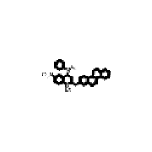 CCN1c2ccc([N+](=O)[O-])cc2C(N(C(C)=O)c2ccccc2)CC1Cc1ccc2c(ccc3c4ccccc4ccc23)c1